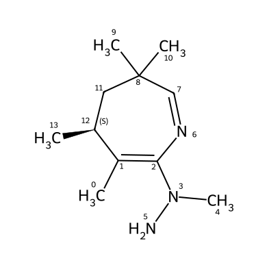 CC1=C(N(C)N)N=CC(C)(C)C[C@@H]1C